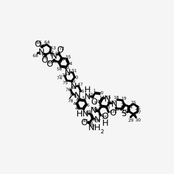 C=CC(=O)Nc1cc(Nc2nc(-c3ccnc(N4CCc5c(sc6c5CCCC6(C)C)C4=O)c3CO)cnc2C(N)=O)ccc1N1CCN(C2CCN(c3ccc4c(c3)C(=O)N(C3CCC(=O)N(C)C3=O)C4=O)[C@@H](C)C2)C[C@@H]1C